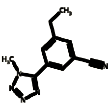 CCc1cc(C#N)cc(-c2nnnn2C)c1